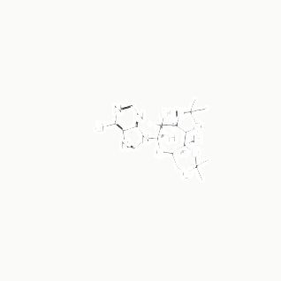 CC1(C)OCC2O[C@@H](n3cnc4c(Cl)ncnc43)[C@@](C)(O)[C@H]3OC(C)(C)OC3[C@@H]2O1